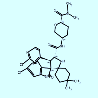 CN(C)C(=O)[C@@H]1CC[C@@H](NC(=O)[C@@H]2NC3(CCC(C)(C)CC3)[C@@]3(C(=O)Nc4cc(Cl)ccc43)[C@H]2c2ccnc(Cl)c2)CO1